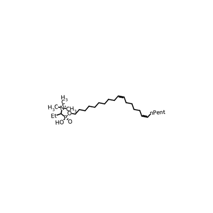 CCCCC/C=C\CCCC/C=C\CCCCCCCCCOP(=O)(O)C(CC)[N+](C)(C)C